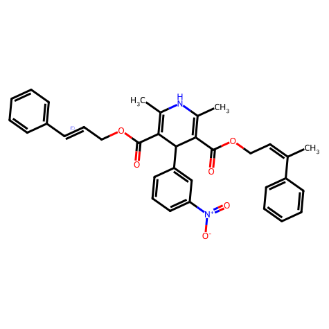 CC(=CCOC(=O)C1=C(C)NC(C)=C(C(=O)OC/C=C/c2ccccc2)C1c1cccc([N+](=O)[O-])c1)c1ccccc1